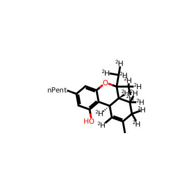 [2H]C1=C(C)C([2H])([2H])C([2H])([2H])[C@@]2([2H])C(C([2H])([2H])[2H])(C([2H])([2H])[2H])Oc3cc(CCCCC)cc(O)c3[C@]12[2H]